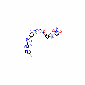 CNc1cc(-n2ccc3cc(C#N)cnc32)ncc1-c1nnc([C@H]2CC[C@H](NC(=O)CN3CCN(C(=O)Cc4ccc5c(c4)CN(C4CCC(=O)NC4=O)C5=O)CC3)CC2)s1